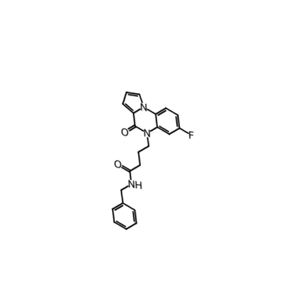 O=C(CCCn1c(=O)c2cccn2c2ccc(F)cc21)NCc1ccccc1